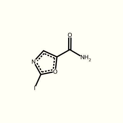 NC(=O)c1cnc(I)o1